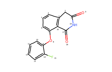 O=C1Cc2cccc(Oc3ccccc3F)c2C(=O)N1